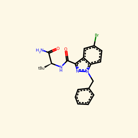 CC(C)(C)[C@H](NC(=O)c1nn(Cc2ccccc2)c2ccc(Br)cc12)C(N)=O